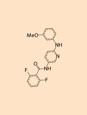 COc1cccc(Nc2ccc(NC(=O)c3c(F)cccc3F)cn2)c1